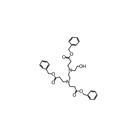 O=C(CCN(CCO)CCN(CCC(=O)OCc1ccccc1)CCC(=O)OCc1ccccc1)OCc1ccccc1